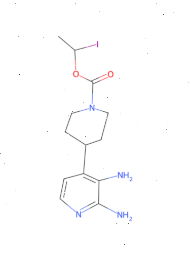 CC(I)OC(=O)N1CCC(c2ccnc(N)c2N)CC1